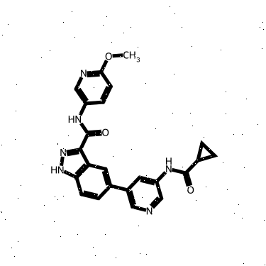 COc1ccc(NC(=O)c2n[nH]c3ccc(-c4cncc(NC(=O)C5CC5)c4)cc23)cn1